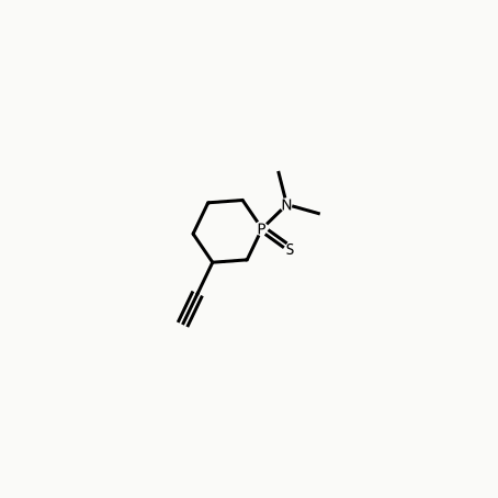 C#CC1CCCP(=S)(N(C)C)C1